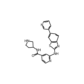 O=C(NC1CCNC1)c1ccnc(Nc2nc3ccc(-c4cccnc4)cc3s2)c1